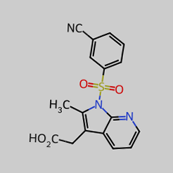 Cc1c(CC(=O)O)c2cccnc2n1S(=O)(=O)c1cccc(C#N)c1